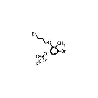 Cc1c(Br)cccc1OCCCBr.O=C([O-])[O-].[K+].[K+]